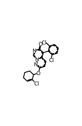 O=c1ncn2nc(OC3CCCC=C3Cl)ccc2c1-c1c(Cl)cccc1Cl